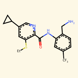 CCSc1cc(C2CC2)cnc1C(=O)Nc1cc(C(F)(F)F)ccc1CN